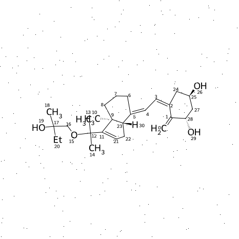 C=C1C(=CC=C2CCC[C@]3(C)C(C(C)(C)OCC(C)(O)CC)=CC[C@@H]23)C[C@@H](O)C[C@@H]1O